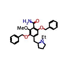 CCN1CCCC1Cc1cc(OCc2ccccc2)c(C(N)=O)c(OC)c1OCc1ccccc1